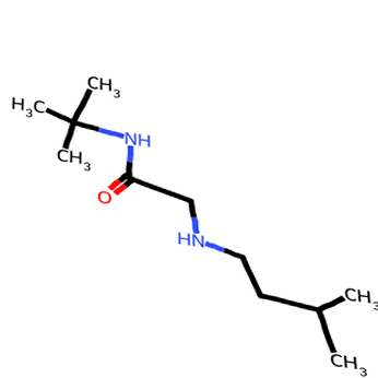 CC(C)CCNCC(=O)NC(C)(C)C